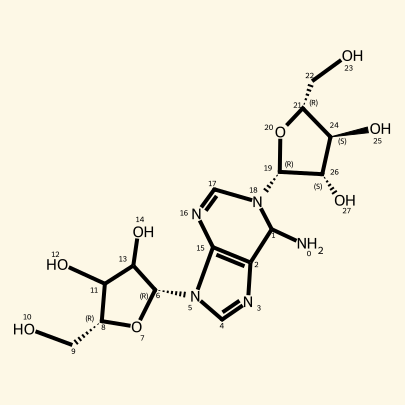 NC1c2ncn([C@@H]3O[C@H](CO)C(O)C3O)c2N=CN1[C@@H]1O[C@H](CO)[C@@H](O)[C@@H]1O